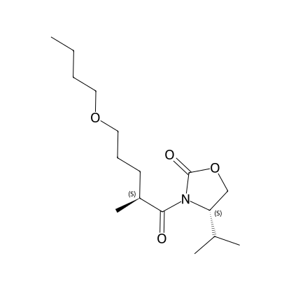 CCCCOCCC[C@H](C)C(=O)N1C(=O)OC[C@@H]1C(C)C